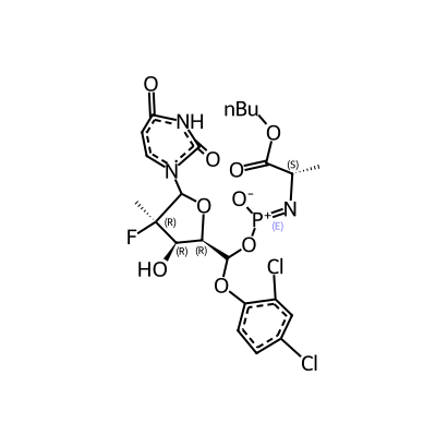 CCCCOC(=O)[C@H](C)/N=[P+](\[O-])OC(Oc1ccc(Cl)cc1Cl)[C@@H]1OC(n2ccc(=O)[nH]c2=O)[C@](C)(F)[C@@H]1O